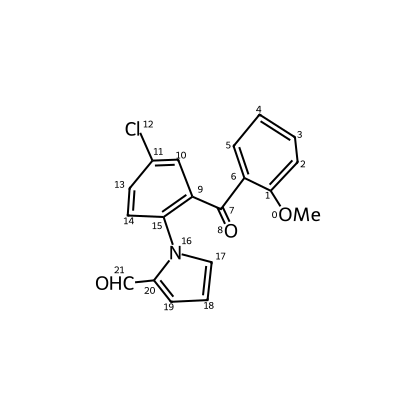 COc1ccccc1C(=O)c1cc(Cl)ccc1-n1cccc1C=O